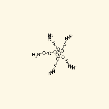 [N-]=[N+]=NCCSCCCOC[C@H]1O[C@@H](OCCOCCOCCN)[C@H](OCCCSCCN=[N+]=[N-])[C@@H](OCCCSCCN=[N+]=[N-])[C@@H]1COCCSCCN=[N+]=[N-]